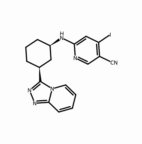 N#Cc1cnc(N[C@@H]2CCC[C@H](c3nnc4ccccn34)C2)cc1I